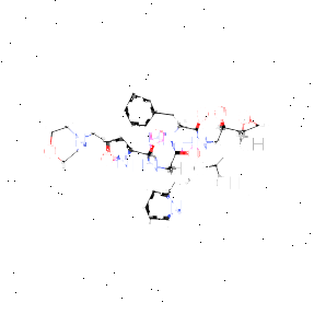 CC(C)C[C@H](NC(=O)[C@H](Cc1ccccc1)NC(=O)[C@H](Cc1ccccn1)NC(=O)c1cc(CN2CCOCC2)on1)C(=O)[C@@]1(C)CO1